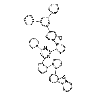 c1ccc(-c2cc(-c3ccccc3)cc(-c3ccc4c(c3)oc3cccc(-c5nc(-c6ccccc6)nc(-c6ccccc6-c6ccccc6-c6cccc7c6sc6ccccc67)n5)c34)c2)cc1